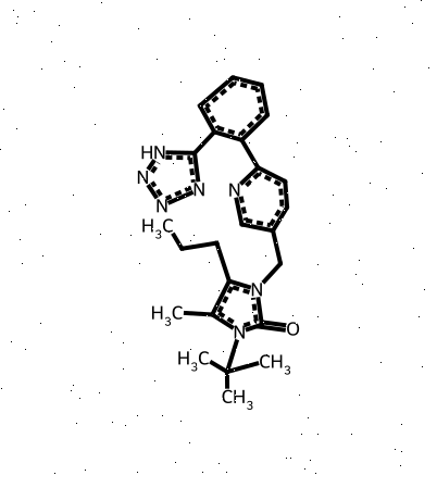 CCCc1c(C)n(C(C)(C)C)c(=O)n1Cc1ccc(-c2ccccc2-c2nnn[nH]2)nc1